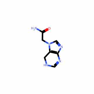 NC(=O)Cn1cnc2c1CNC=N2